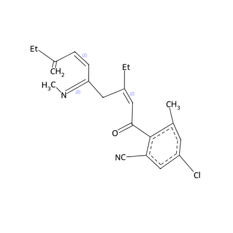 C=C(/C=C\C(C/C(=C\C(=O)c1c(C)cc(Cl)cc1C#N)CC)=N/C)CC